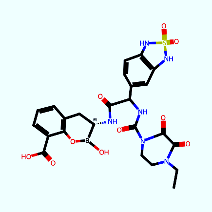 CCN1CCN(C(=O)NC(C(=O)N[C@H]2Cc3cccc(C(=O)O)c3OB2O)c2ccc3c(c2)NS(=O)(=O)N3)C(=O)C1=O